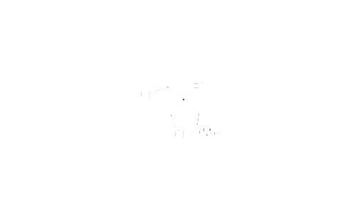 CCC(CCl)(CCl)COC